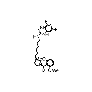 COc1cccc(OC)c1C(=O)N1CCC(CCCCCCNC(=NC#N)Nc2cc(F)nc(F)c2)C1